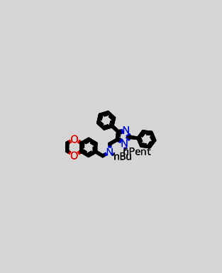 CCCCCn1c(-c2ccccc2)nc(-c2ccccc2)c1CN(CCCC)Cc1ccc2c(c1)OCCO2